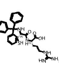 N=C(N)NCCC[C@H](NC(=O)[C@H](CS)NC(c1ccccc1)(c1ccccc1)c1ccccc1)C(=O)O